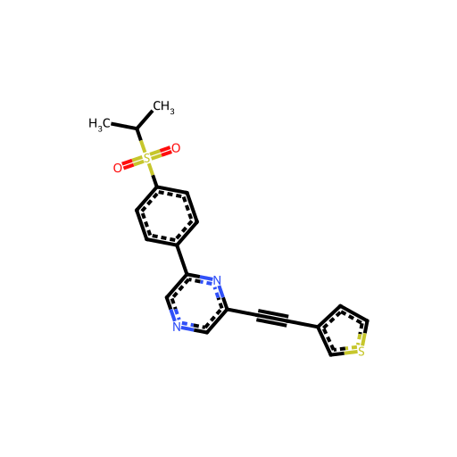 CC(C)S(=O)(=O)c1ccc(-c2cncc(C#Cc3ccsc3)n2)cc1